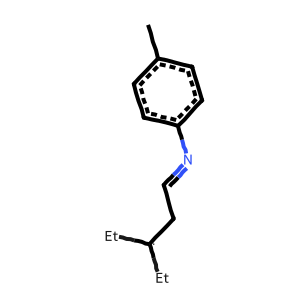 CC[C](CC)CC=Nc1ccc(C)cc1